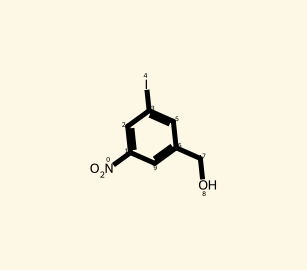 O=[N+]([O-])c1cc(I)cc([CH]O)c1